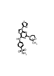 C[C@@H]1CN(c2nc(Nc3ccc(S(N)(=O)=O)cc3)c3ncn(-c4cscn4)c3n2)CCO1